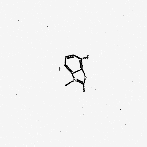 Cc1sc2c(F)cccc2[n+]1C.[I-]